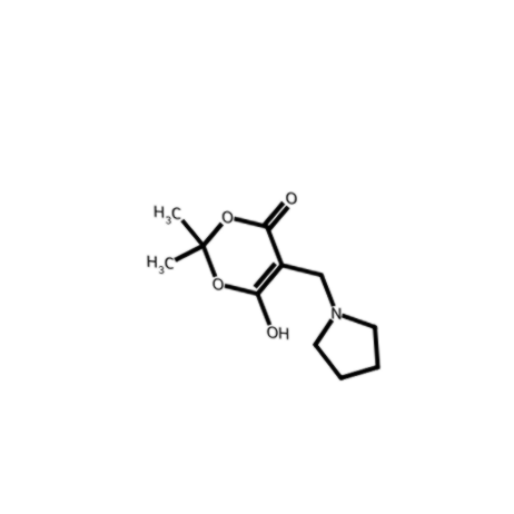 CC1(C)OC(=O)C(CN2CCCC2)=C(O)O1